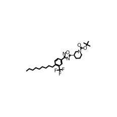 CCCCCCCCCc1ccc(-c2noc([C@@H]3CCCN(C(=O)OC(C)(C)C)C3)n2)cc1C(F)(F)F